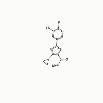 COC(=O)c1sc(-c2ccc(F)c(Cl)c2)nc1C1CC1